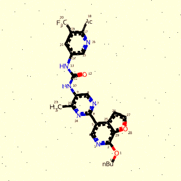 CCCCOc1ncc(-c2ncc(NC(=O)Nc3cnc(C(C)=O)c(C(F)(F)F)c3)c(C)n2)c2ccoc12